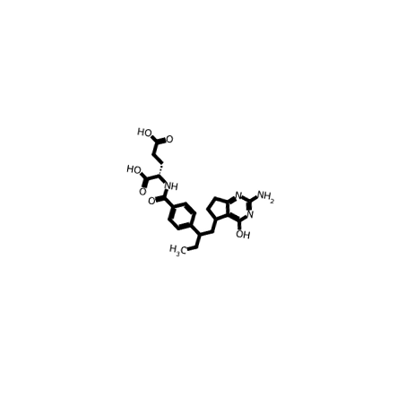 CCC(CC1CCc2nc(N)nc(O)c21)c1ccc(C(=O)N[C@@H](CCC(=O)O)C(=O)O)cc1